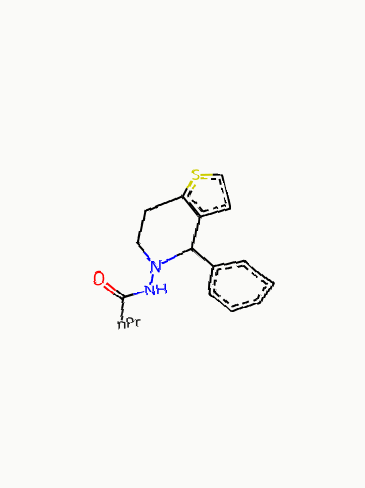 CCCC(=O)NN1CCc2sccc2C1c1ccccc1